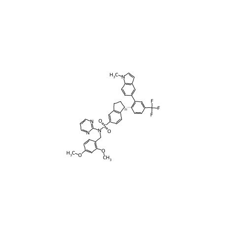 COc1ccc(CN(c2ncccn2)S(=O)(=O)c2ccc3c(c2)CC[C@@H]3c2ccc(C(F)(F)F)cc2-c2ccc3c(ccn3C)c2)c(OC)c1